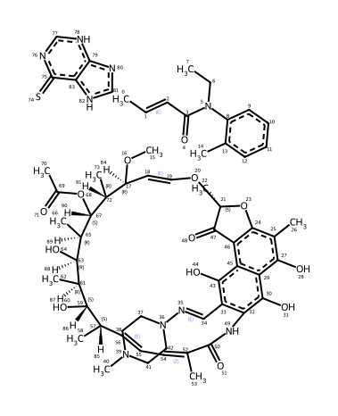 C/C=C/C(=O)N(CC)c1ccccc1C.CO[C@H]1/C=C/O[C@@]2(C)Oc3c(C)c(O)c4c(O)c(c(/C=N/N5CCN(C)CC5)c(O)c4c3C2=O)NC(=O)/C(C)=C\C=C\[C@H](C)[C@H](O)[C@@H](C)[C@@H](O)[C@@H](C)[C@H](OC(C)=O)[C@@H]1C.S=c1nc[nH]c2nc[nH]c12